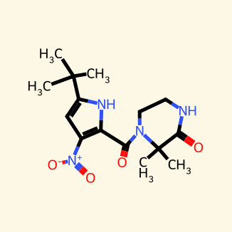 CC(C)(C)c1cc([N+](=O)[O-])c(C(=O)N2CCNC(=O)C2(C)C)[nH]1